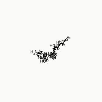 C=O.CC(=O)SCCNC(=O)CCNC(=O)C(O)C(C)(C)COP(=O)(O)OP(=O)(O)OC[C@H]1O[C@@H](n2cnc3c(N)ncnc32)[C@H](O)[C@@H]1OP(=O)(O)O